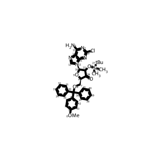 COc1ccc(C(OC[C@H]2O[C@@H](n3cnc4c(N)nc(Cl)nc43)C(O[Si](C)(C)C(C)(C)C)C2=O)(c2ccccc2)c2ccccc2)cc1